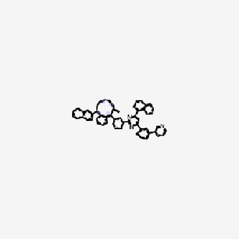 C=C1/C=C\C=C/C/C(c2ccc3ccccc3c2)=c2/cccc/c2=C/1c1cccc(-c2nc(-c3cccc(-c4cccnc4)c3)cc(-c3cccc4ccccc34)n2)c1